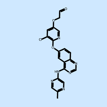 Cc1cnc(Nc2ncnc3ccc(Oc4ncc(OCC=O)cc4Cl)cc23)cn1